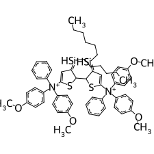 CCCCCC[SiH]=C1C=C([N+](c2ccccc2)(c2ccc(OC)cc2)c2ccc(OC)cc2)SC1C1SC([N+](c2ccccc2)(c2ccc(OC)cc2)c2ccc(OC)cc2)=CC1=[SiH]CCCCCC